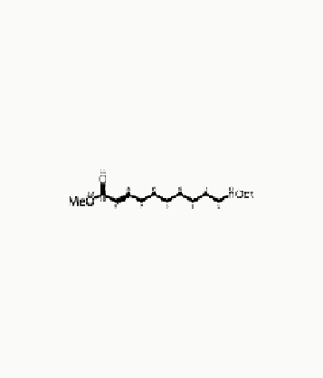 CCCCCCCCCCCCCCCC=CC(=O)OC